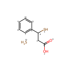 O=C(O)CC(S)c1ccccc1.S